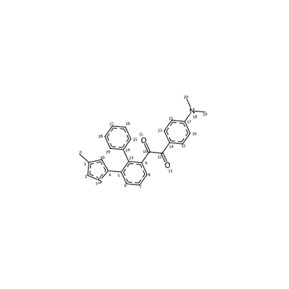 Cc1csc(-c2cccc(C(=O)C(=O)c3ccc(N(C)C)cc3)c2-c2ccccc2)c1